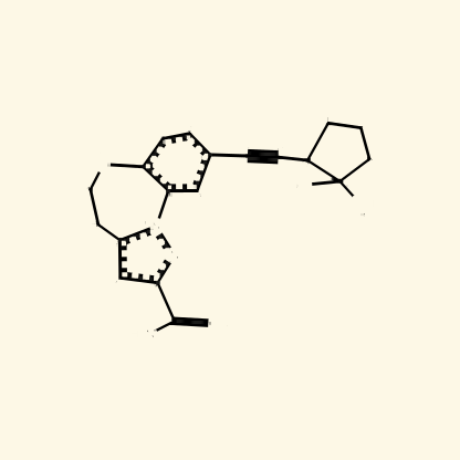 NC(=O)c1cc2n(n1)-c1cc(C#CC3CCCC3(O)F)ccc1OCC2